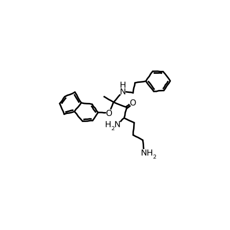 CC(NCCc1ccccc1)(Oc1ccc2ccccc2c1)C(=O)C(N)CCCN